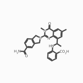 Cc1cc(C(C)Nc2ccccc2C(=O)O)c2nc(N3Cc4ccc(C(N)=O)cc4C3)n(C)c(=O)c2c1